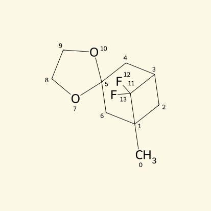 CC12CC(CC3(C1)OCCO3)C2(F)F